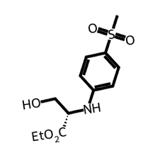 CCOC(=O)[C@H](CO)Nc1ccc(S(C)(=O)=O)cc1